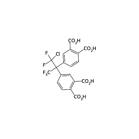 O=C(O)c1ccc(C(c2ccc(C(=O)O)c(C(=O)O)c2)(C(F)(F)F)C(F)(F)Cl)cc1C(=O)O